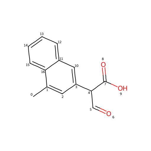 Cc1cc(C(C=O)C(=O)O)cc2ccccc12